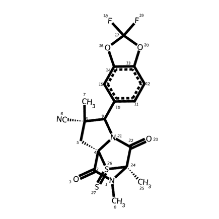 CN1C(=O)[C@@]23C[C@](C)(C#N)C(c4ccc5c(c4)OC(F)(F)O5)N2C(=O)[C@]1(C)S3=S